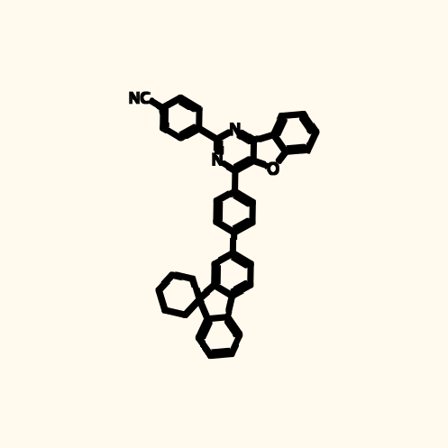 N#Cc1ccc(-c2nc(-c3ccc(-c4ccc5c(c4)C4(CCCCC4)c4ccccc4-5)cc3)c3oc4ccccc4c3n2)cc1